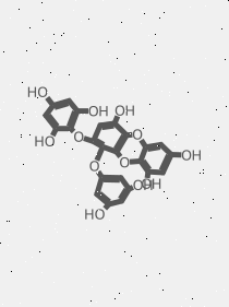 Oc1cc(O)cc(Oc2c(Oc3c(O)cc(O)cc3O)cc(O)c3c2Oc2c(O)cc(O)cc2O3)c1